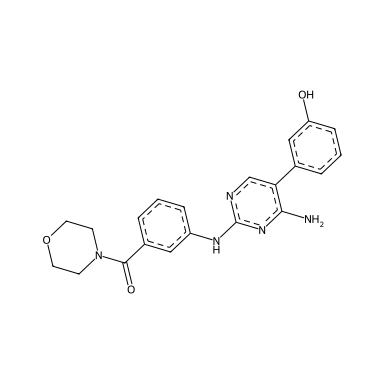 Nc1nc(Nc2cccc(C(=O)N3CCOCC3)c2)ncc1-c1cccc(O)c1